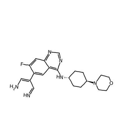 N=C/C(=C\N)c1cc2c(N[C@H]3CC[C@H](N4CCOCC4)CC3)ncnc2cc1F